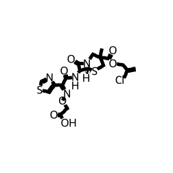 C=C(Cl)COC(=O)C1(C)CS[C@@H]2C(NC(=O)C(=NOCC(=O)O)c3cscn3)C(=O)N2C1